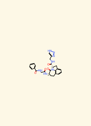 O=C(CNC(=O)c1ccccc1)N[C@H]1CCc2cccc3c2N(C1=O)[C@H](C(=O)NCc1c[nH]nn1)C3